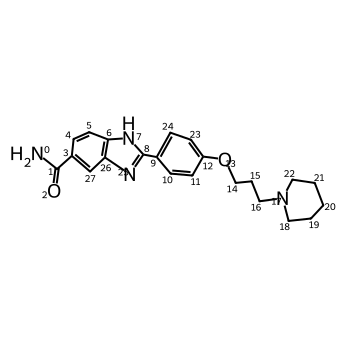 NC(=O)c1ccc2[nH]c(-c3ccc(OCCCN4CCCCC4)cc3)nc2c1